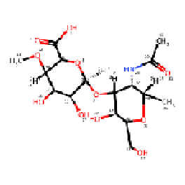 [2H]C1(O[C@]2([2H])OC(C(=O)O)[C@@]([2H])(OC)C(O)[C@@H]2O)[C@H](O)C(CO)O[C@@]([2H])(C)[C@H]1NC(C)=O